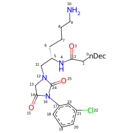 CCCCCCCCCCCC(=O)N[C@@H](CCCCN)CN1CC(=O)N(c2cccc(Cl)c2)C1=O